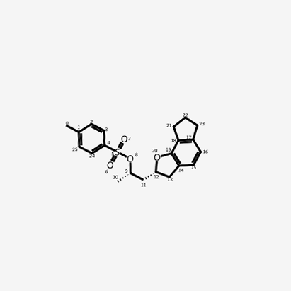 Cc1ccc(S(=O)(=O)O[C@@H](C)C[C@H]2Cc3ccc4c(c3O2)CCC4)cc1